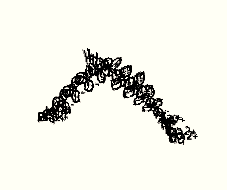 O.O.O=[Si]([O-])[O-].O=[Si]([O-])[O-].O=[Si]([O-])[O-].O=[Si]([O-])[O-].O=[Si]([O-])[O-].O=[Si]([O-])[O-].O=[Si]([O-])[O-].O=[Si]([O-])[O-].O=[Si]([O-])[O-].[Al+3].[Al+3].[Ba+2].[Ba+2].[Ca+2].[Ca+2].[K+].[K+].[Na+].[Na+]